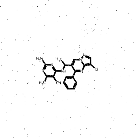 Cc1nc(N)nc(NC(C)c2cn3ncc(Cl)c3nc2-c2ccccc2)c1C#N